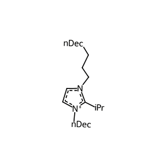 CCCCCCCCCCCCCn1cc[n+](CCCCCCCCCC)c1C(C)C